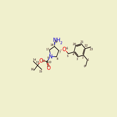 CCc1cc(CO[C@@H]2CN(C(=O)OC(C)(C)C)C[C@H]2N)ccc1C